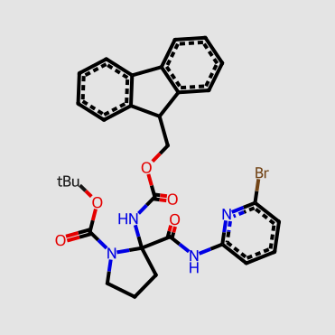 CC(C)(C)OC(=O)N1CCCC1(NC(=O)OCC1c2ccccc2-c2ccccc21)C(=O)Nc1cccc(Br)n1